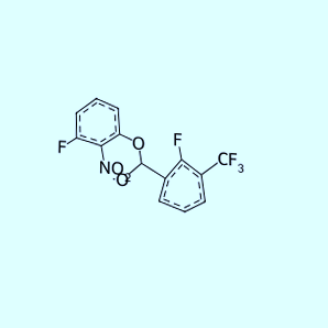 [O]C(Oc1cccc(F)c1[N+](=O)[O-])c1cccc(C(F)(F)F)c1F